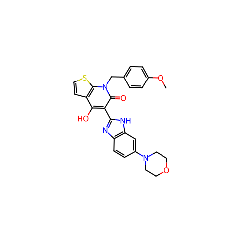 COc1ccc(Cn2c(=O)c(-c3nc4ccc(N5CCOCC5)cc4[nH]3)c(O)c3ccsc32)cc1